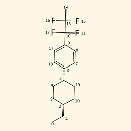 CC[C@H]1CC[C@H](c2ccc(C(F)(F)C(C)(F)F)cc2)CC1